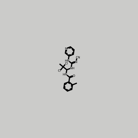 Cc1ccccc1C(=O)NC(NC(=NC#N)Nc1cccnc1)C(C)(Cl)Cl